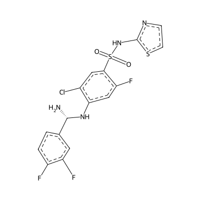 N[C@H](Nc1cc(F)c(S(=O)(=O)Nc2nccs2)cc1Cl)c1ccc(F)c(F)c1